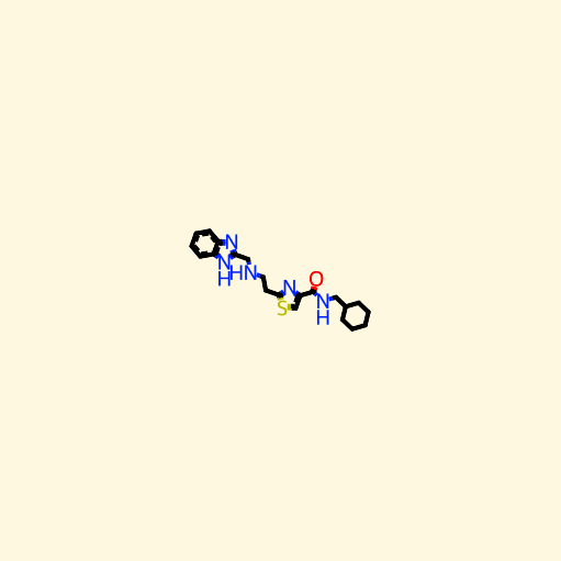 O=C(NCC1CCCCC1)c1csc(CCNCc2nc3ccccc3[nH]2)n1